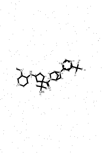 COC1COCCC1NC1CCC(C(=O)N2CC3CC2CN3c2cc(C(F)(F)F)ncn2)(C(C)(C)O)C1